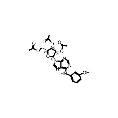 CC(=O)OC[C@H]1O[C@@H](n2cnc3c(Nc4cccc(O)c4)ncnc32)[C@@H](OC(C)=O)[C@H]1OC(C)=O